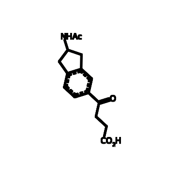 CC(=O)NC1Cc2ccc(C(=O)CCC(=O)O)cc2C1